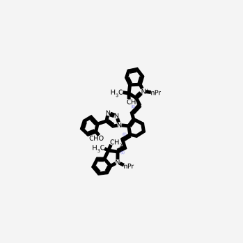 CCCN1/C(=C/C=C2\CCCC(/C=C/C3=[N+](CCC)c4ccccc4C3(C)C)=C2n2cc(-c3ccccc3C=O)nn2)C(C)(C)c2ccccc21